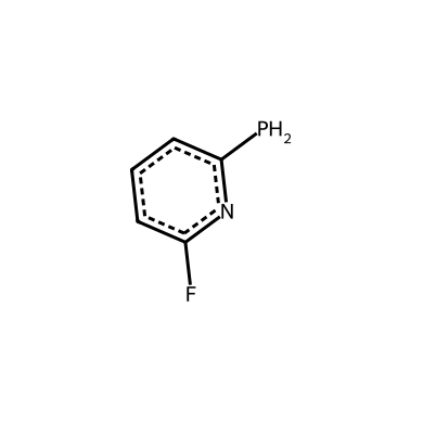 Fc1cccc(P)n1